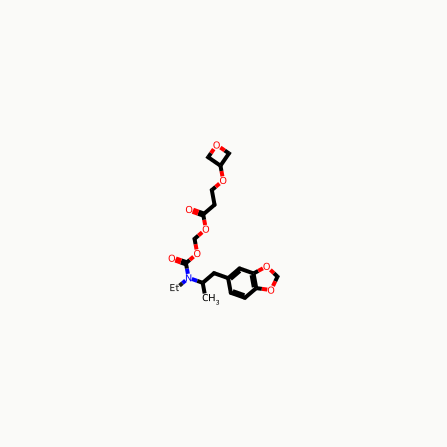 CCN(C(=O)OCOC(=O)CCOC1COC1)C(C)Cc1ccc2c(c1)OCO2